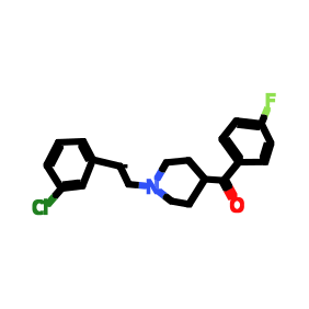 O=C(c1ccc(F)cc1)C1CCN(C[CH]c2cccc(Cl)c2)CC1